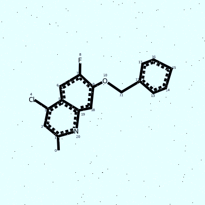 Cc1cc(Cl)c2cc(F)c(OCc3ccccc3)cc2n1